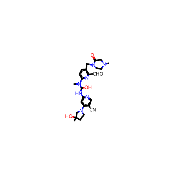 CN1CCN(Cc2ccc(N(C)C(O)Nc3cc(N4CCC(C)(O)C4)c(C#N)cn3)nc2C=O)C(=O)C1